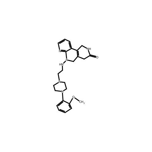 COc1ccccc1N1CCN(CCNN2CC3=C(CNC(=O)C3)c3cccnc32)CC1